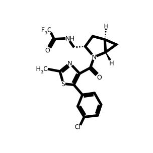 Cc1nc(C(=O)N2[C@H](CNC(=O)C(F)(F)F)C[C@H]3C[C@@H]32)c(-c2cccc(Cl)c2)s1